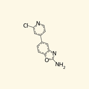 Nc1nc2cc(-c3ccnc(Cl)c3)ccc2o1